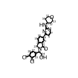 O=C1c2cc(-c3ccnc(NC4CCOCC4)n3)ccc2CN1C(CO)c1ccc(Cl)c(Cl)c1